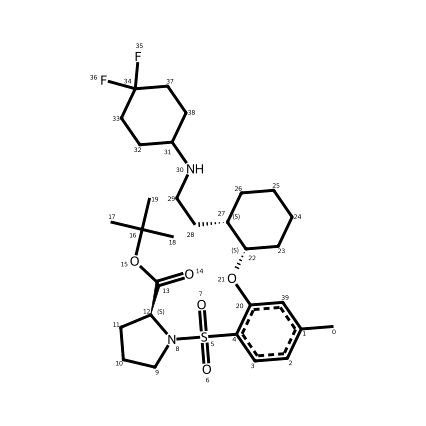 Cc1ccc(S(=O)(=O)N2CCC[C@H]2C(=O)OC(C)(C)C)c(O[C@H]2CCCC[C@H]2CCNC2CCC(F)(F)CC2)c1